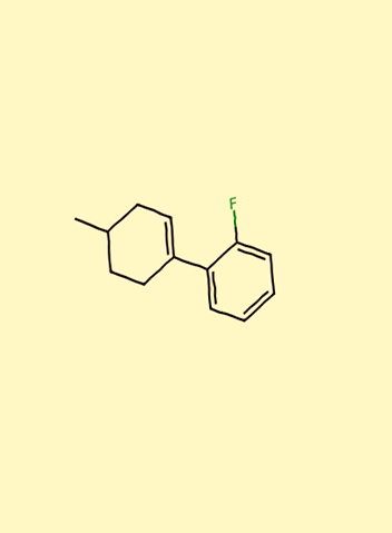 CC1CC=C(c2ccccc2F)CC1